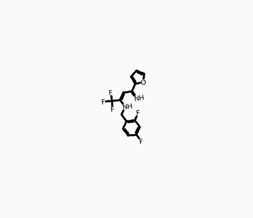 N=C(/C=C(\NCc1ccc(F)cc1F)C(F)(F)F)c1ccco1